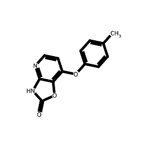 Cc1ccc(Oc2ccnc3[nH]c(=O)oc23)cc1